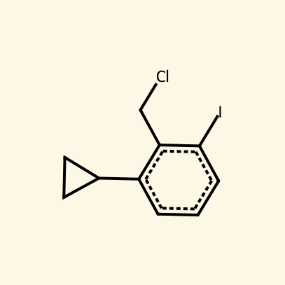 ClCc1c(I)cccc1C1CC1